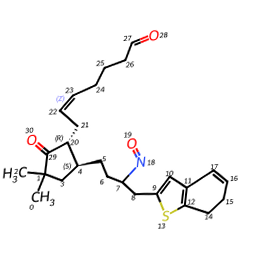 CC1(C)C[C@H](CCC(Cc2cc3c(s2)CCC=C3)N=O)[C@@H](C/C=C\CCCC=O)C1=O